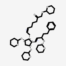 O=C(CCC/C=C\C[C@@H]1[C@@H](/C=C/C(CCc2ccccc2)O[C@H]2CCCCO2)[C@H](OC2CCCCO2)C[C@@H]1OC1CCCCO1)COC1CCCCO1